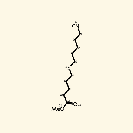 [C-]#[N+]CCCCCSCCCCC(=O)OC